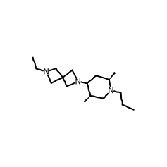 CCCN1C[C@@H](C)C(N2CC3(CN(CC)C3)C2)C[C@H]1C